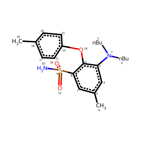 CCCCN(CCCC)c1cc(C)cc(S(N)(=O)=O)c1Oc1ccc(C)cc1